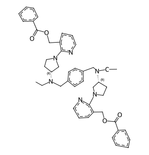 CCN(Cc1ccc(CN(CC)[C@@H]2CCN(c3ncccc3COC(=O)c3ccccc3)C2)cc1)[C@@H]1CCN(c2ncccc2COC(=O)c2ccccc2)C1